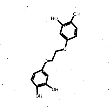 Oc1ccc(OCCOc2ccc(O)c(O)c2)cc1O